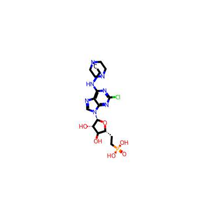 O=P(O)(O)CC[C@H]1O[C@@H](n2cnc3c(NC4CN5CCN4CC5)nc(Cl)nc32)[C@@H](O)C1O